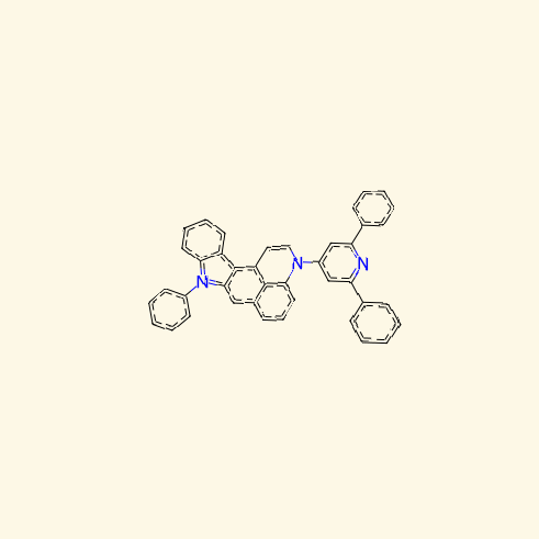 C1=CN(c2cc(-c3ccccc3)nc(-c3ccccc3)c2)c2cccc3cc4c(c1c23)c1ccccc1n4-c1ccccc1